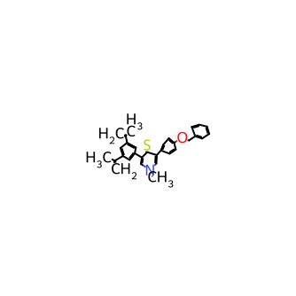 C=C(C)c1cc(C(=C)C)cc(-c2cn(C)cc(-c3ccc(OCc4ccccc4)cc3)c2=S)c1